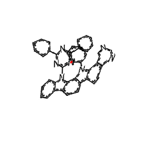 c1ccc(-c2nc(-c3ccccc3)nc(-n3c4ccccc4c4ccc5c6ccc7ncncc7c6n(-c6ccccc6)c5c43)n2)cc1